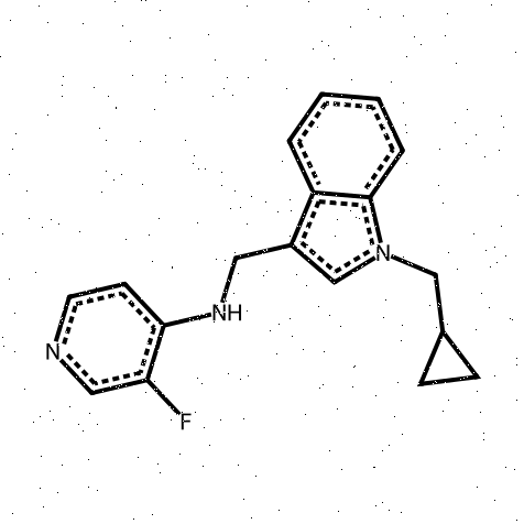 Fc1cnccc1NCc1cn(CC2CC2)c2ccccc12